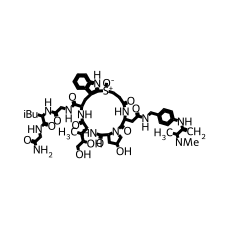 C=C(Nc1ccc(CNC(=O)CC2NC(=O)CC[S+]([O-])c3[nH]c4ccccc4c3CC(C(=O)NCC(=O)NC(C(=O)NCC(N)=O)C(C)CC)NC(=O)C(C(C)C(O)CO)NC(=O)C3CC(O)CN3C2=O)cc1)C(C)NC